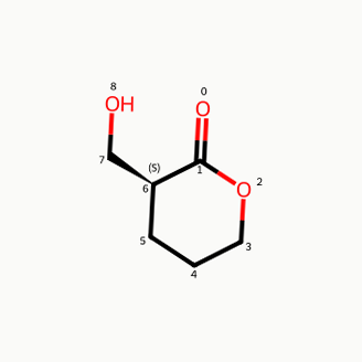 O=C1OCCC[C@H]1CO